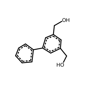 OCc1cc(CO)cc(-c2ccccc2)c1